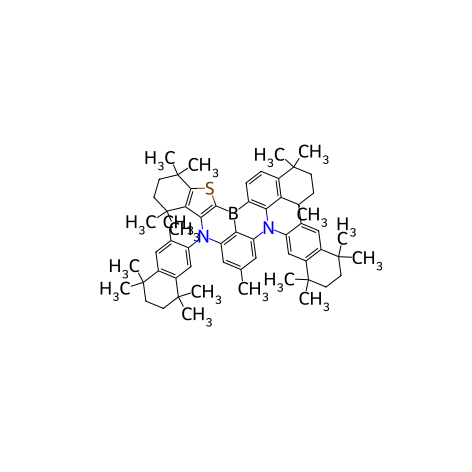 Cc1cc2c3c(c1)N1c4cc5c(cc4C4(C)CCC(C)(C)c6ccc(c1c64)B3c1sc3c(c1N2c1cc2c(cc1C)C(C)(C)CCC2(C)C)C(C)(C)CCC3(C)C)C(C)(C)CCC5(C)C